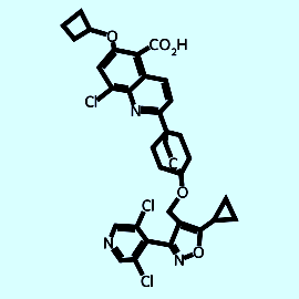 O=C(O)c1c(OC2CCC2)cc(Cl)c2nc(C34CCC(OCc5c(-c6c(Cl)cncc6Cl)noc5C5CC5)(CC3)CC4)ccc12